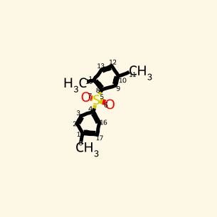 Cc1ccc(S(=O)(=O)c2cc(C)ccc2C)cc1